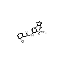 Cc1ncsc1-c1ccc(NC(=O)Cc2ccccc2Cl)cc1S(N)(=O)=O